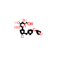 OC[C@H]1OC(c2ccc(Cl)c(Cc3ccc(OC4C5COCC54)cc3)c2)[C@H](O)[C@@H](O)[C@@H]1O